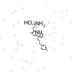 Cc1ccc(CCCC(=O)c2cc(C)c(CC[C@@](C)(N)CO)[nH]2)cc1